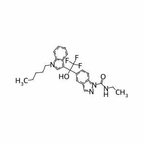 CCCCCn1cc(C(O)(c2ccc3c(cnn3C(=O)NCC)c2)C(F)(F)F)c2ccccc21